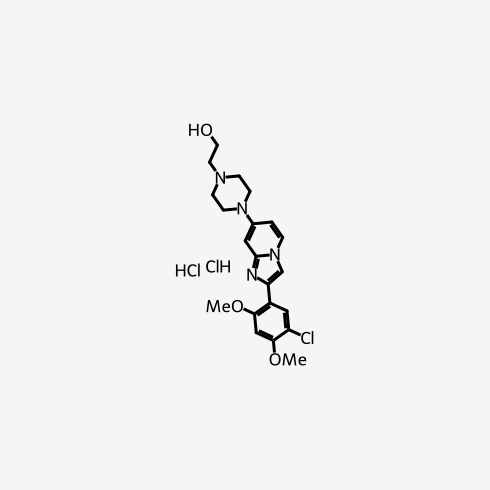 COc1cc(OC)c(-c2cn3ccc(N4CCN(CCO)CC4)cc3n2)cc1Cl.Cl.Cl